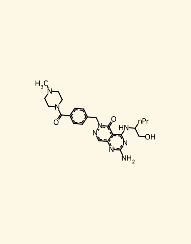 CCCC(CO)Nc1nc(N)nc2cnn(Cc3ccc(C(=O)N4CCN(C)CC4)cc3)c(=O)c12